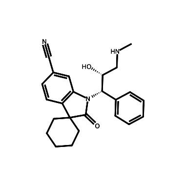 CNC[C@@H](O)[C@H](c1ccccc1)N1C(=O)C2(CCCCC2)c2ccc(C#N)cc21